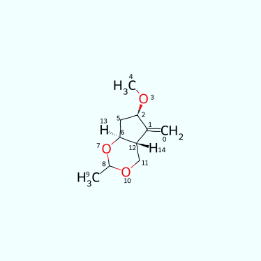 C=C1[C@H](OC)C[C@@H]2OC(C)OC[C@@H]12